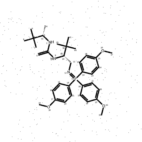 C=C(N[C@@H](C)C(C)(C)C)N[C@@H](CN=P(c1ccc(OC)cc1)(c1ccc(OC)cc1)c1ccc(OC)cc1)C(C)(C)C